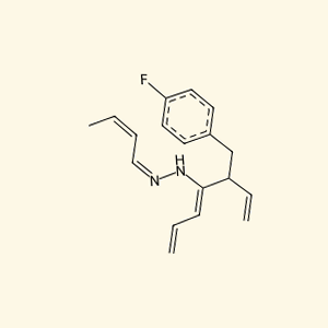 C=C/C=C(\N/N=C\C=C/C)C(C=C)Cc1ccc(F)cc1